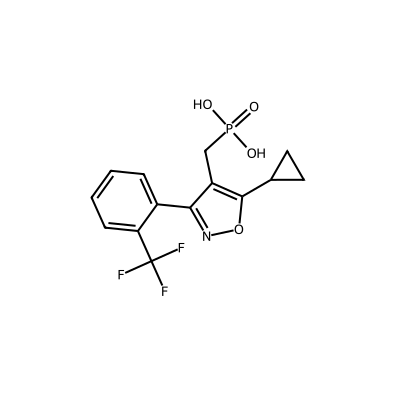 O=P(O)(O)Cc1c(-c2ccccc2C(F)(F)F)noc1C1CC1